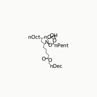 CCCCCCCCCCCOC(=O)CCCCC(CC(CCCCCCCC)CCCCCCCC)N(CCO)OC(=O)CCCCC